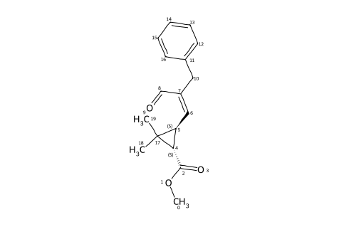 COC(=O)[C@H]1[C@H](C=C(C=O)Cc2ccccc2)C1(C)C